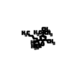 CCCCCC(CC)(PCl)c1cc(C(C)(C)C)cc(C)c1OC